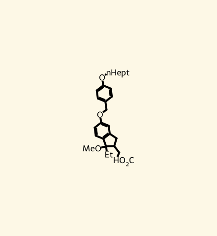 CCCCCCCOc1ccc(COc2ccc3c(c2)CC(CC(=O)O)C3(CC)OC)cc1